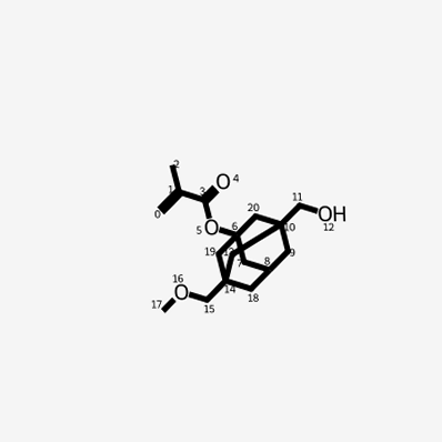 C=C(C)C(=O)OC12CC3CC(CO)(CC(COC)(C3)C1)C2